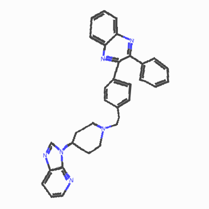 c1ccc(-c2nc3ccccc3nc2-c2ccc(CN3CCC(n4cnc5cccnc54)CC3)cc2)cc1